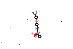 CCCC(CCC)c1ccc(OCc2ccc(-c3csc(CN(C)[C@H](C(=O)O)c4ccccc4)n3)cc2)cc1